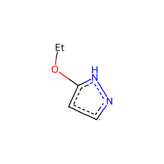 CCOc1c[c]n[nH]1